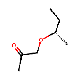 CC[C@H](C)OCC(C)=O